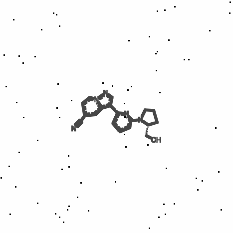 N#Cc1ccn2ncc(-c3cccc(N4CCC[C@@H]4CO)n3)c2c1